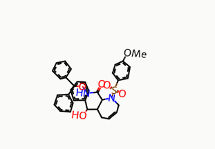 COc1ccc(S(=O)(=O)N2CC=CCC(C(O)c3ccccc3)C2C(=O)NOC(c2ccccc2)c2ccccc2)cc1